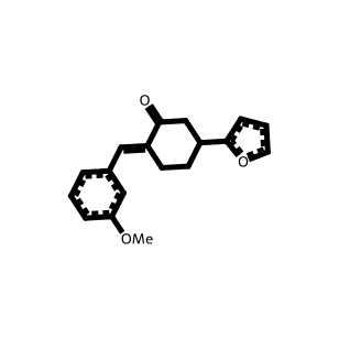 COc1cccc(C=C2CCC(c3ccco3)CC2=O)c1